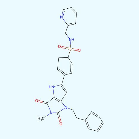 Cn1c(=O)c2[nH]c(-c3ccc(S(=O)(=O)NCc4ccccn4)cc3)cc2n(CCc2ccccc2)c1=O